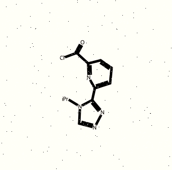 CC(C)n1cnnc1-c1cccc(C(=O)Cl)n1